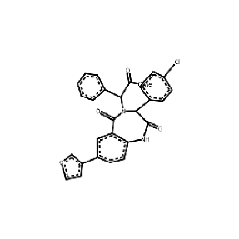 COC(=O)C(c1ccccc1)N1C(=O)c2cc(-c3ccoc3)ccc2NC(=O)C1c1ccc(Cl)cc1